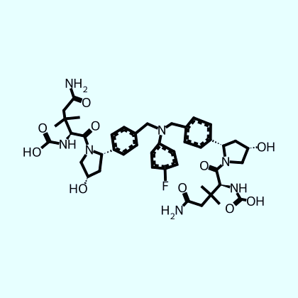 CC(C)(CC(N)=O)[C@H](NC(=O)O)C(=O)N1C[C@@H](O)C[C@H]1c1ccc(CN(Cc2ccc([C@@H]3C[C@H](O)CN3C(=O)[C@@H](NC(=O)O)C(C)(C)CC(N)=O)cc2)c2ccc(F)cc2)cc1